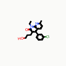 CCn1c(=O)c(CCCO)c(-c2cccc(Cl)c2)c2ccc(C)nc21